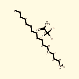 CCCCCCCCCCCCOCCCN.O=C(O)C(F)(F)F